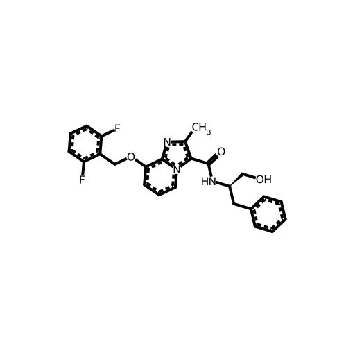 Cc1nc2c(OCc3c(F)cccc3F)cccn2c1C(=O)N[C@@H](CO)Cc1ccccc1